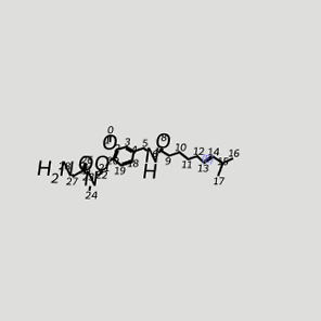 COc1cc(CNC(=O)CCCC/C=C/C(C)C)ccc1OCN(C)C(=O)CN